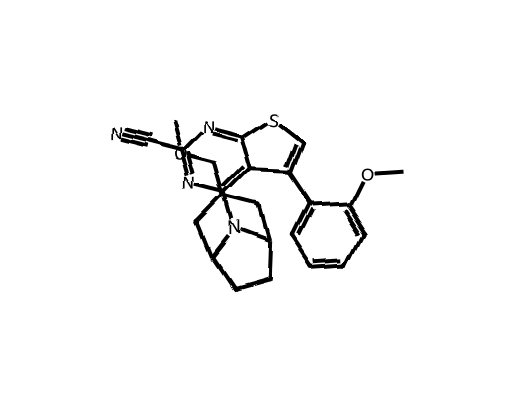 COCC1CC2CCC(C1)N2c1nc(C#N)nc2scc(-c3ccccc3OC)c12